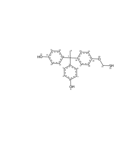 CC(c1ccc(O)cc1)(c1ccc(O)cc1)c1ccc(OCS)cc1